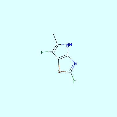 Cc1[nH]c2nc(F)sc2c1F